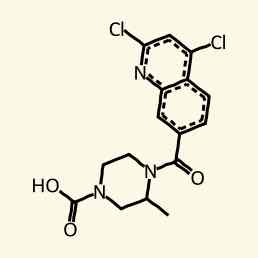 CC1CN(C(=O)O)CCN1C(=O)c1ccc2c(Cl)cc(Cl)nc2c1